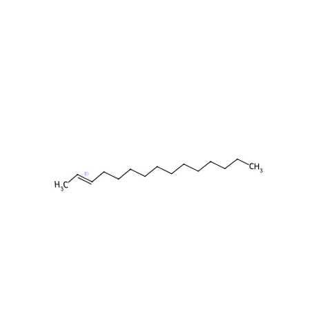 C/C=C/CCCCCCCCCCCC